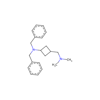 CN(C)CC1CC(N(Cc2ccccc2)Cc2ccccc2)C1